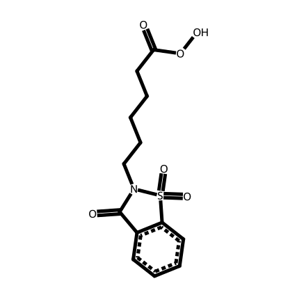 O=C(CCCCCN1C(=O)c2ccccc2S1(=O)=O)OO